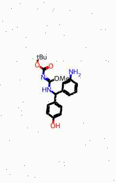 CO/C(=N\C(=O)OC(C)(C)C)NC(c1ccc(O)cc1)c1cccc(N)c1